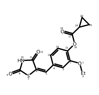 CCOc1cc(C=C2SC(=O)NC2=O)ccc1OC(=O)C1CC1